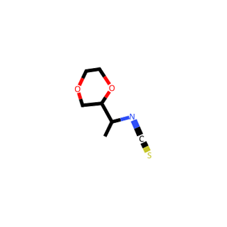 CC(N=C=S)C1COCCO1